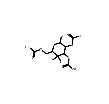 CC(=O)OCC1OC(Br)C(OC(C)=O)C(OC(C)=O)C1(F)F